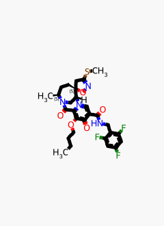 CCCCOc1c2n(cc(C(=O)NCc3c(F)cc(F)cc3F)c1=O)[C@@H]1CN(C2=O)[C@@H](C)CC[C@]12CC(SC)=NO2